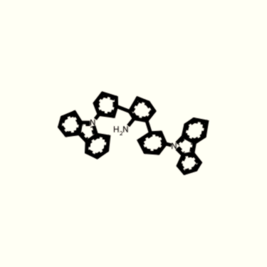 Nc1c(-c2cccc(-n3c4ccccc4c4ccccc43)c2)cccc1-c1cccc(-n2c3ccccc3c3ccccc32)c1